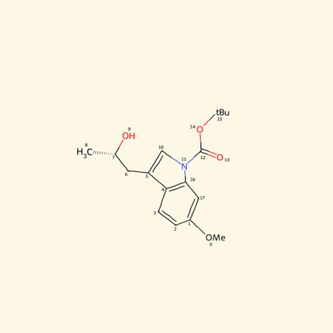 COc1ccc2c(C[C@H](C)O)cn(C(=O)OC(C)(C)C)c2c1